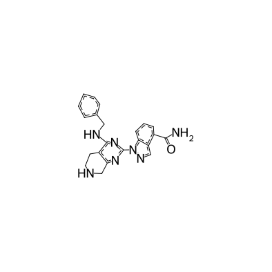 NC(=O)c1cccc2c1cnn2-c1nc2c(c(NCc3ccccc3)n1)CCNC2